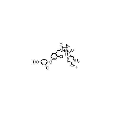 C=C/N=C\C(=C/N)C(=O)NC1(C(=O)NCc2ccc(Oc3ccc(O)cc3Cl)cc2Cl)CC1